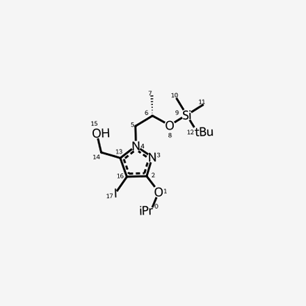 CC(C)Oc1nn(C[C@H](C)O[Si](C)(C)C(C)(C)C)c(CO)c1I